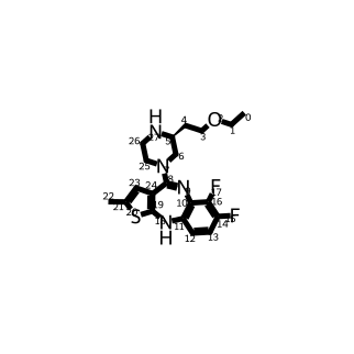 CCOCC[C@H]1CN(C2=Nc3c(ccc(F)c3F)Nc3sc(C)cc32)CCN1